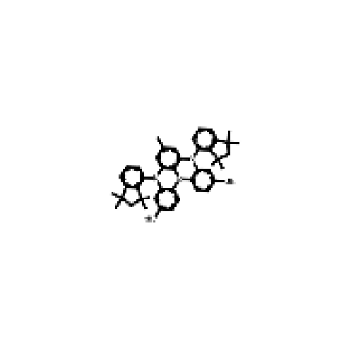 Cc1cc2c3c(c1)N(c1cccc4c1C(C)(C)CC4(C)C)c1cc(C(C)(C)C)ccc1B3c1ccc(C(C)(C)C)cc1N2c1cccc2c1C(C)(C)CC2(C)C